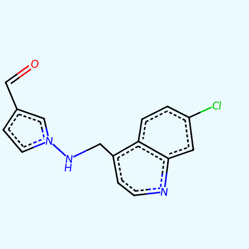 O=Cc1ccn(NCc2ccnc3cc(Cl)ccc23)c1